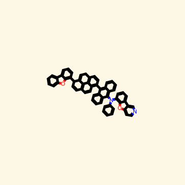 C1=CC(c2cccc3c2oc2ccccc23)C2=CCc3ccc(-c4c5ccccc5c(N(c5ccccc5)c5cccc6c5oc5ccncc56)c5ccccc45)c4ccc1c2c34